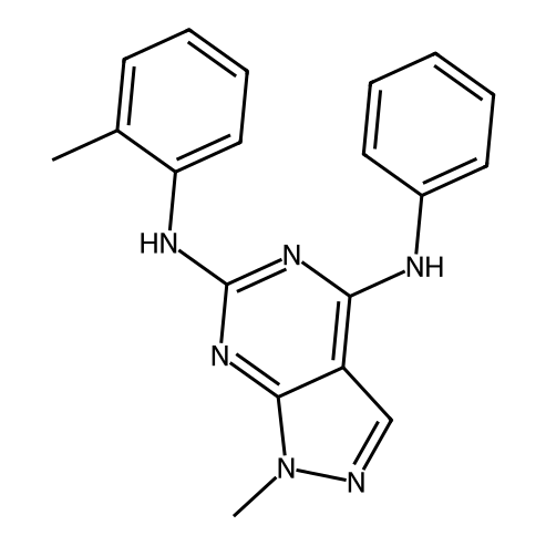 Cc1ccccc1Nc1nc(Nc2ccccc2)c2cnn(C)c2n1